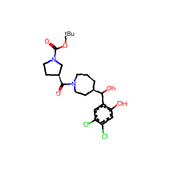 CC(C)(C)OC(=O)N1CC[C@H](C(=O)N2CCCC(C(O)c3cc(Cl)c(Cl)cc3O)CC2)C1